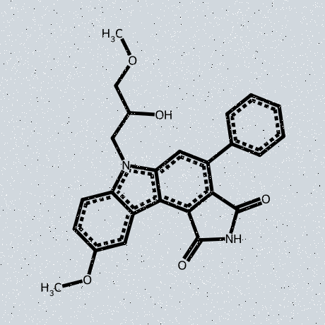 COCC(O)Cn1c2ccc(OC)cc2c2c3c(c(-c4ccccc4)cc21)C(=O)NC3=O